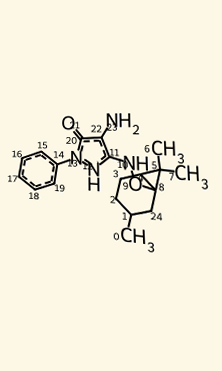 CC1CCC2C(C)(C)C2(ONc2[nH]n(-c3ccccc3)c(=O)c2N)C1